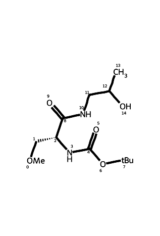 COC[C@@H](NC(=O)OC(C)(C)C)C(=O)NCC(C)O